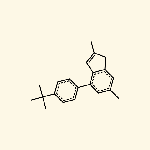 CC1=Cc2c(cc(C)cc2-c2ccc(C(C)(C)C)cc2)C1